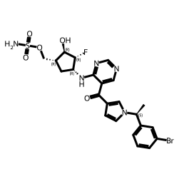 C[C@@H](c1cccc(Br)c1)n1ccc(C(=O)c2cncnc2N[C@@H]2C[C@H](COS(N)(=O)=O)[C@@H](O)[C@@H]2F)c1